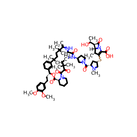 C=C(NCC(=O)N[C@H]1CCN(C(=O)[C@@H]2C[C@H](SC3=C(C(=O)O)N4C(=O)[C@H]([C@@H](C)O)[C@H]4[C@H]3C)CN2C)C1)C(C)(C)CCC(C)(C)c1cccc([C@@H](CCc2ccc(OC)c(OC)c2)OC(=O)[C@@H]2CCCCN2C(=O)C(=O)C(C)(C)CC)c1